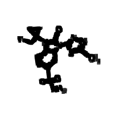 Cc1nnc(-n2c(=O)n(C3(CF)CC3)c3ccc(S(N)(=O)=O)cc32)s1